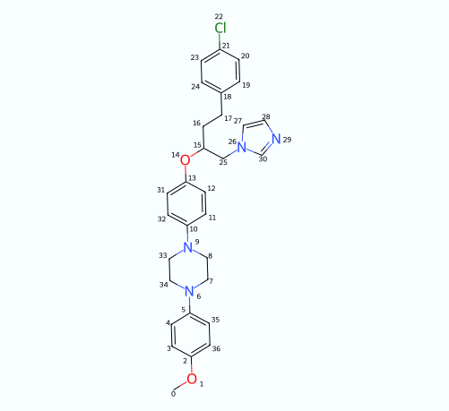 COc1ccc(N2CCN(c3ccc(OC(CCc4ccc(Cl)cc4)Cn4ccnc4)cc3)CC2)cc1